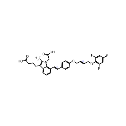 Cc1c(CCCC(=O)O)c2cccc(/C=C/c3ccc(OC/C=C/COc4c(F)cc(F)cc4F)cc3)c2n1CC(=O)O